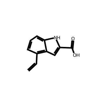 C=Cc1cccc2[nH]c(C(=O)O)cc12